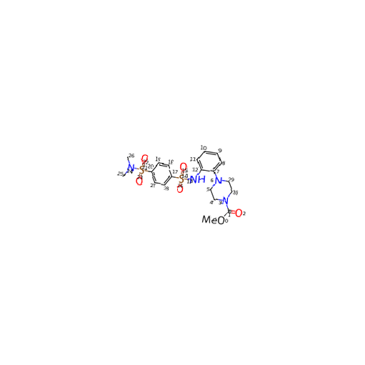 COC(=O)N1CCN(c2ccccc2NS(=O)(=O)c2ccc(S(=O)(=O)N(C)C)cc2)CC1